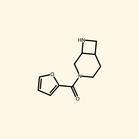 O=C(c1ccco1)N1CCC2CNC2C1